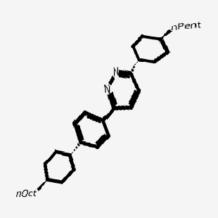 CCCCCCCC[C@H]1CC[C@H](c2ccc(-c3ccc([C@H]4CC[C@H](CCCCC)CC4)nn3)cc2)CC1